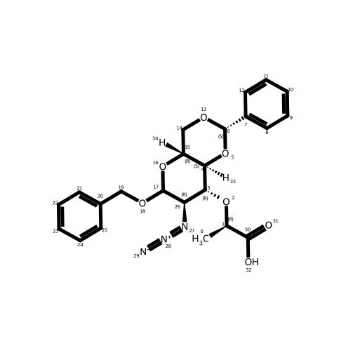 C[C@@H](O[C@H]1[C@@H]2O[C@@H](c3ccccc3)OC[C@H]2OC(OCc2ccccc2)[C@@H]1N=[N+]=[N-])C(=O)O